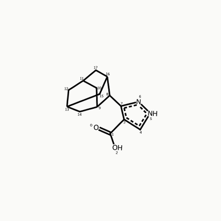 O=C(O)c1c[nH]nc1C1C2CC3CC(C2)CC1C3